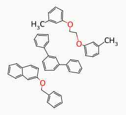 Cc1cccc(OCCOc2cccc(C)c2)c1.c1ccc(-c2cccc(-c3ccccc3)c2)cc1.c1ccc(COc2ccc3ccccc3c2)cc1